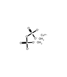 O.O.O=P([O-])([O-])OP(=O)([O-])[O-].[Cu+4]